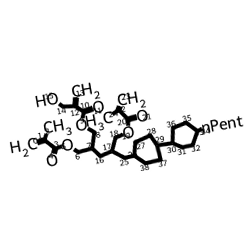 C=C(C)C(=O)OCC(COC(=O)C(=C)CO)CC(COC(=O)C(=C)C)CC1CCC(C2CCC(CCCCC)CC2)CC1